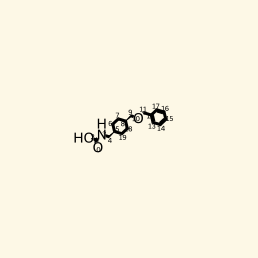 O=C(O)NC[C@H]1CC[C@@H](COCc2ccccc2)CC1